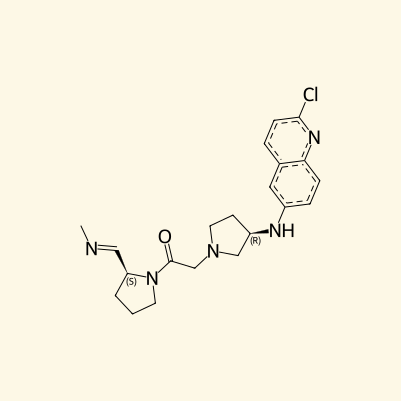 CN=C[C@@H]1CCCN1C(=O)CN1CC[C@@H](Nc2ccc3nc(Cl)ccc3c2)C1